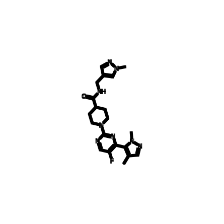 Cc1cnn(C)c1-c1nc(N2CCC(C(=O)NCc3cnn(C)c3)CC2)ncc1F